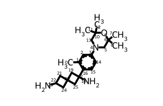 Cc1cc(N2CC(C)(C)OC(C)(C)C2)ccc1C1(N)CC2(CC(N)C2)C1